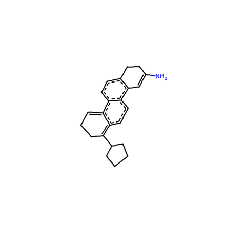 NC1=Cc2c(ccc3c4c(ccc23)=C(C2CCCC2)CCC=4)CC1